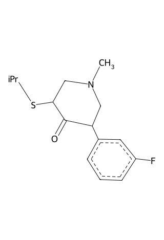 CC(C)SC1CN(C)CC(c2cccc(F)c2)C1=O